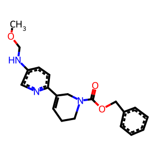 COCNc1ccc(C2=CCCN(C(=O)OCc3ccccc3)C2)nc1